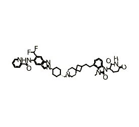 Cn1c(=O)n(C2CCC(=O)NC2=O)c2cccc(CCC3CC4(CCN(C[C@H]5CC[C@H](n6cc7cc(NC(=O)c8ccccn8)c(C(F)F)cc7n6)CC5)CC4)C3)c21